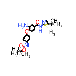 CC(C)(C)OC(=O)Nc1ccc(Oc2ccc(C(=O)Nc3ncc(C(C)(C)C)s3)cc2N)cc1